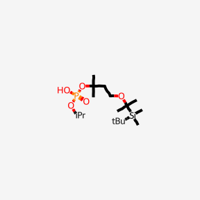 CC(C)OP(=O)(O)OC(C)(C)CCOC(C)(C)[Si](C)(C)C(C)(C)C